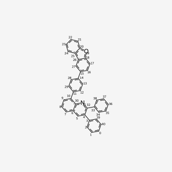 c1ccc(-c2cc3cccc(-c4ccc(-c5ccc6oc7ccccc7c6c5)cc4)c3nc2-c2ccccc2)cc1